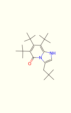 CC(C)(C)Cc1c[nH]c2c(C(C)(C)C)c(C(C)(C)C)c(C(C)(C)C)c(=O)n12